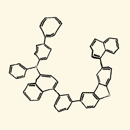 c1ccc(-c2ccc(N(c3ccccc3)c3ccc(-c4cccc(-c5ccc6oc7ccc(-c8cccc9ccccc89)cc7c6c5)c4)c4ccccc34)cc2)cc1